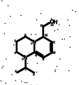 CC(C)N1CCCN2C1=CC=CC2CO